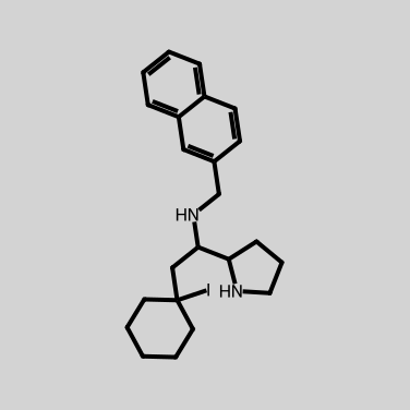 IC1(CC(NCc2ccc3ccccc3c2)C2CCCN2)CCCCC1